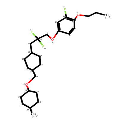 CCCOc1ccc(OCC(F)(F)CC2CCC(COC3CCC(C)CC3)CC2)cc1F